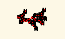 c1ccc(-c2nc(-c3ccc(-c4ccncc4)cc3)nc(-c3cc(-c4ccc(-c5cccc(-c6cccc(-c7nc(-c8ccc(-c9ccncc9)cc8)nc(-c8cc(-c9cccnc9)cc(-c9cccc(-c%10cccc(-c%11ccc(-c%12nc(-c%13ccc(-c%14ccncc%14)cc%13)nc(-c%13cc(-c%14cccnc%14)cc(-c%14cccc(-c%15cccnc%15)c%14)c%13)n%12)cc%11)c%10)c9)c8)n7)c6)c5)cc4)cc(-c4cccnc4)c3)n2)cc1